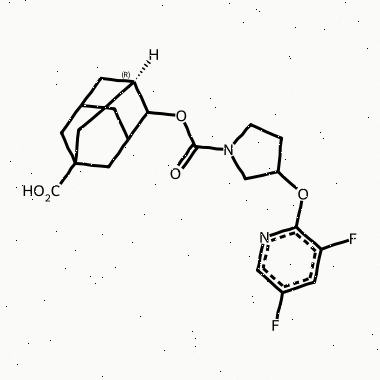 O=C(OC1C2CC3C[C@@H]1CC(C(=O)O)(C3)C2)N1CCC(Oc2ncc(F)cc2F)C1